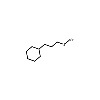 CCCSCCCC1CCCCC1